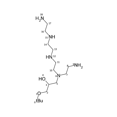 CC(C)(C)OCC(O)CN(CCN)CCNCCNCCN